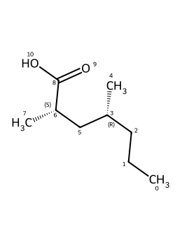 CCC[C@@H](C)C[C@H](C)C(=O)O